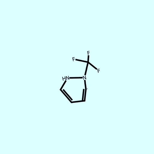 FC(F)(F)N1[C]=CC=CN1